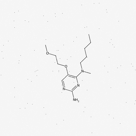 CCCCCN(C)c1nc(N)ncc1OCCOC